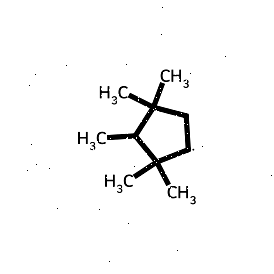 CC1C(C)(C)[CH]CC1(C)C